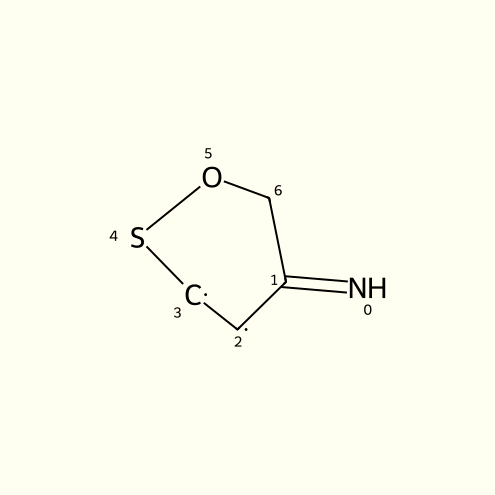 N=C1[CH][CH]SOC1